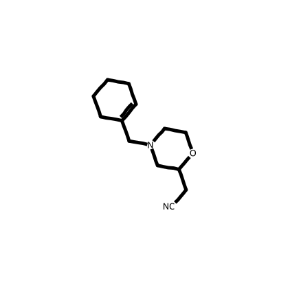 N#CCC1CN(CC2=CCCCC2)CCO1